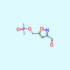 CP(C)(=O)OCc1cc(C=O)no1